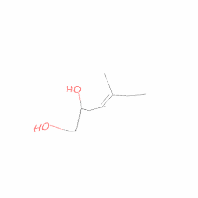 CC(C)=[C]C(O)CO